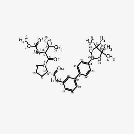 COC(=O)N[C@H](C(=O)N1CCC[C@H]1C(=O)Nc1cccc(-c2ccc(B3OC(C)(C)C(C)(C)O3)cc2)c1)C(C)C